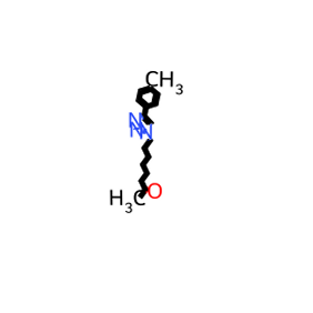 CC(=O)CCCCCCn1cc(-c2ccc(C)cc2)nn1